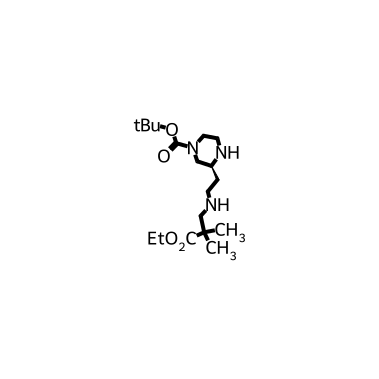 CCOC(=O)C(C)(C)CNCC[C@H]1CN(C(=O)OC(C)(C)C)CCN1